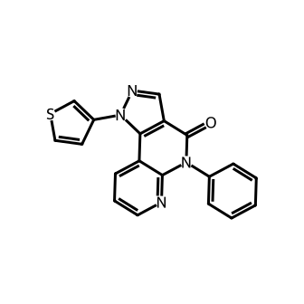 O=c1c2cnn(-c3ccsc3)c2c2cccnc2n1-c1ccccc1